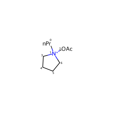 CCC[N+]1(OC(C)=O)CCCC1